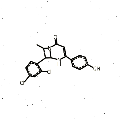 CC1C(c2ccc(Cl)cc2Cl)C2NC(c3ccc(C#N)cc3)=CC(=O)N12